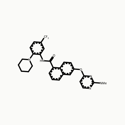 CNc1nccc(Oc2ccc3c(C(=O)Nc4cc(C(F)(F)F)ccc4N4CCCCC4)cccc3c2)n1